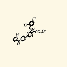 CCOC(=O)c1nn(Cc2ccc(Cl)cc2Cl)c2nc(N3CCN(C(=O)C4CCCN4)CC3)cnc12